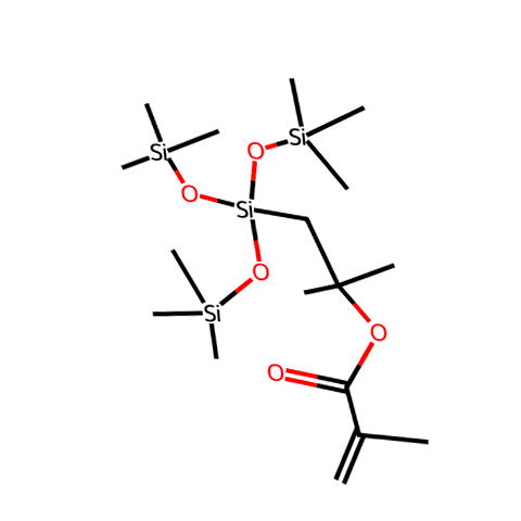 C=C(C)C(=O)OC(C)(C)C[Si](O[Si](C)(C)C)(O[Si](C)(C)C)O[Si](C)(C)C